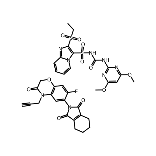 C#CCN1C(=O)COc2cc(F)c(N3C(=O)C4=C(CCCC4)C3=O)cc21.CCS(=O)(=O)c1nc2ccccn2c1S(=O)(=O)NC(=O)Nc1nc(OC)cc(OC)n1